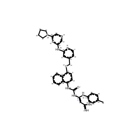 CCCCC(=N)/C=C(/NC(=O)Nc1ccc(OCc2ccnc(Nc3cncc(N4CCCC4)n3)c2)c2ccccc12)Nc1ccc(C)cc1